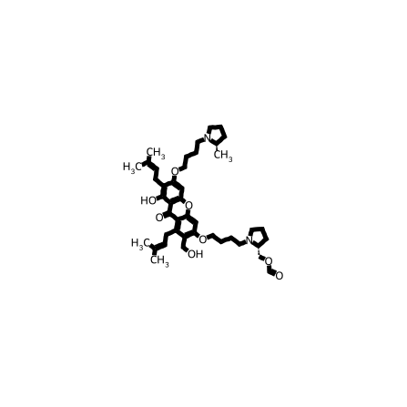 CC(C)=CCc1c(OCCCCN2CCC[C@@H]2C)cc2oc3cc(OCCCCN4CCC[C@@H]4COC=O)c(CO)c(CC=C(C)C)c3c(=O)c2c1O